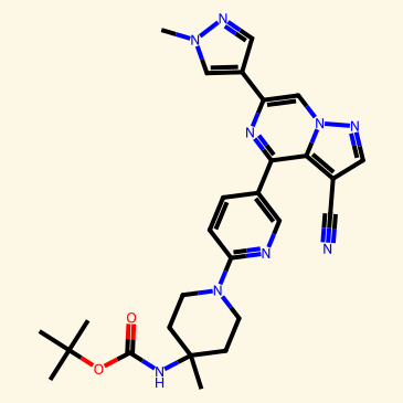 Cn1cc(-c2cn3ncc(C#N)c3c(-c3ccc(N4CCC(C)(NC(=O)OC(C)(C)C)CC4)nc3)n2)cn1